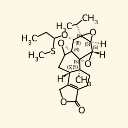 CCC(O[C@@H]1[C@@]2(C(C)C)O[C@H]2[C@@H]2O[C@@]23[C@@]2(C)CCC4=C(COC4=O)[C@@H]2CC2O[C@]213)SC